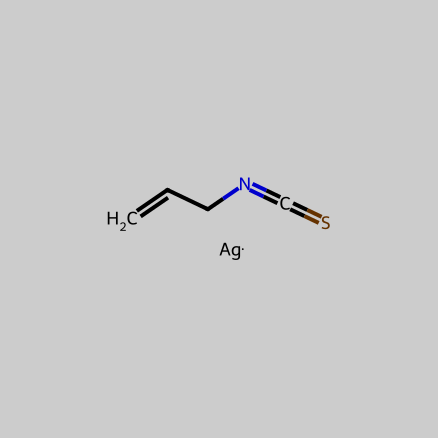 C=CCN=C=S.[Ag]